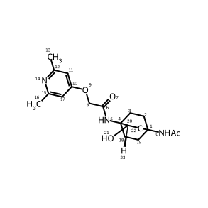 CC(=O)NC12CCC(NC(=O)COc3cc(C)nc(C)c3)(CC1)[C@@H](O)C2